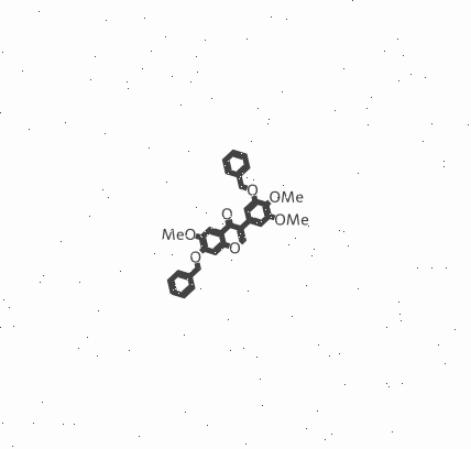 COc1cc2c(=O)c(-c3cc(OC)c(OC)c(OCc4ccccc4)c3)coc2cc1OCc1ccccc1